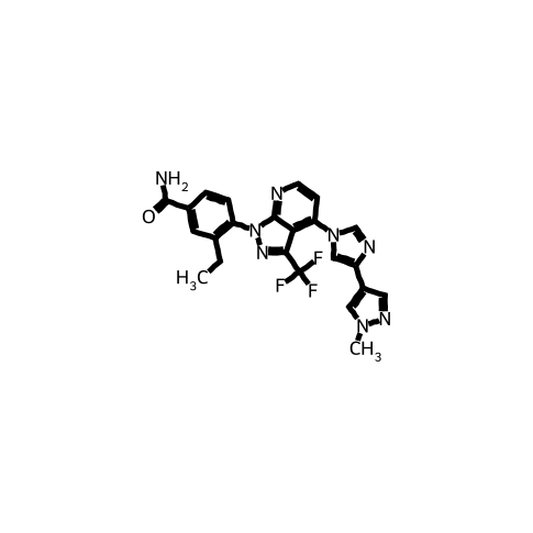 CCc1cc(C(N)=O)ccc1-n1nc(C(F)(F)F)c2c(-n3cnc(-c4cnn(C)c4)c3)ccnc21